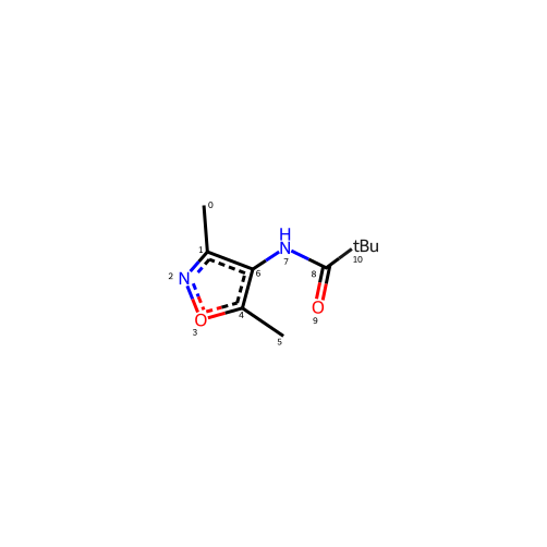 Cc1noc(C)c1NC(=O)C(C)(C)C